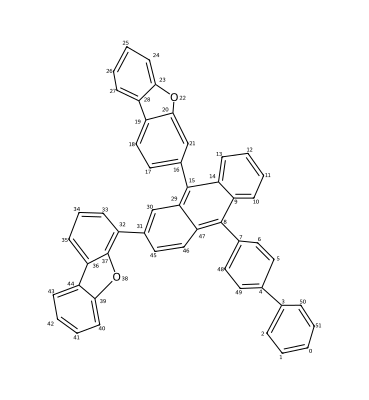 c1ccc(-c2ccc(-c3c4ccccc4c(-c4ccc5c(c4)oc4ccccc45)c4cc(-c5cccc6c5oc5ccccc56)ccc34)cc2)cc1